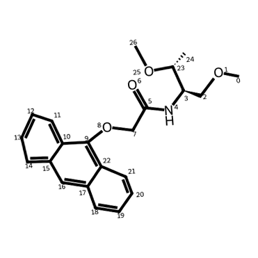 COC[C@@H](NC(=O)COc1c2ccccc2cc2ccccc12)[C@@H](C)OC